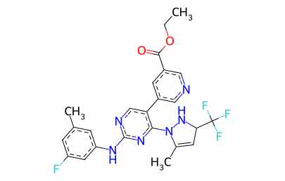 CCOC(=O)c1cncc(-c2cnc(Nc3cc(C)cc(F)c3)nc2N2NC(C(F)(F)F)C=C2C)c1